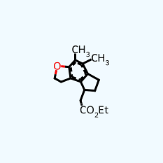 CCOC(=O)CC1CCc2c(C)c(C)c3c(c21)CCO3